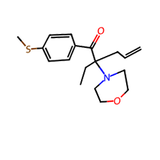 C=CCC(CC)(C(=O)c1ccc(SC)cc1)N1CCOCC1